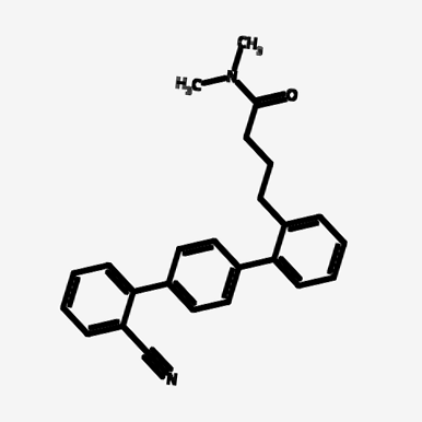 CN(C)C(=O)CCCc1ccccc1-c1ccc(-c2ccccc2C#N)cc1